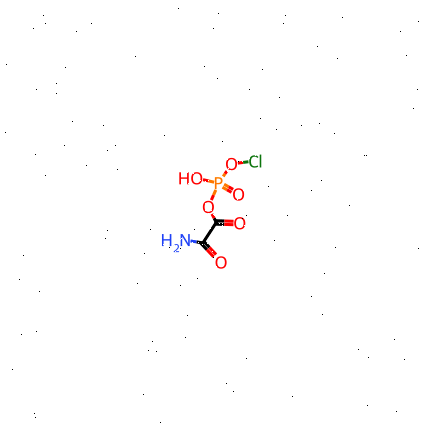 NC(=O)C(=O)OP(=O)(O)OCl